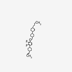 C/C=C/C1CCC(c2ccc(OCC3CCC(C4C=CC(CCCC)CC4)CC3)c(F)c2F)CC1